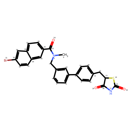 CN(Cc1cccc(-c2ccc(CC3SC(=O)NC3=O)cc2)c1)C(=O)c1ccc2cc(Br)ccc2c1